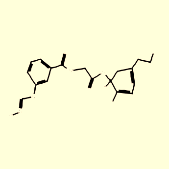 NN=CNc1cccc(C(=O)NCC(=O)NC2(Cl)CC(CCC(=O)O)=CC=C2Cl)c1